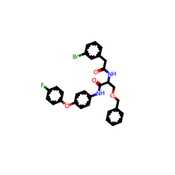 O=C(Cc1cccc(Br)c1)NC(COCc1ccccc1)C(=O)Nc1ccc(Oc2ccc(F)cc2)cc1